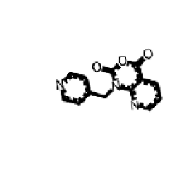 O=c1oc(=O)n(Cc2ccncc2)c2ncccc12